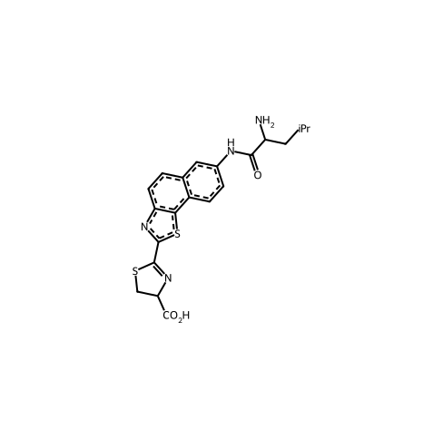 CC(C)CC(N)C(=O)Nc1ccc2c(ccc3nc(C4=NC(C(=O)O)CS4)sc32)c1